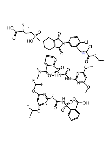 CCOC(=O)/C(Cl)=C/c1cc(N2C(=O)C3=C(CCCC3)C2=O)ccc1Cl.COc1cc(OC)nc(NC(=O)NS(=O)(=O)c2ncccc2C(=O)N(C)C)n1.CP(=O)(O)CCC(N)C(=O)O.O=C(Nc1nc(OC(F)F)cc(OC(F)F)n1)NS(=O)(=O)c1ccccc1C(=O)O